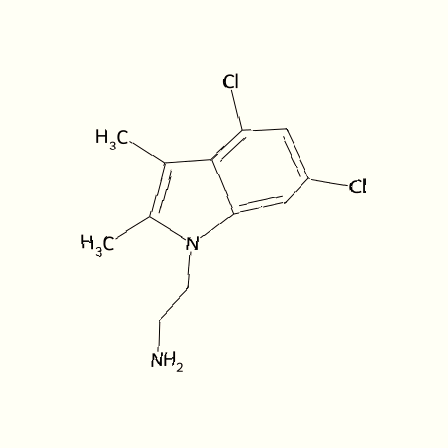 Cc1c(C)n(CCN)c2cc(Cl)cc(Cl)c12